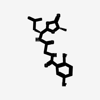 CC(C)C[C@@H](NC(=O)CNC(=O)c1cc(Br)ccc1Br)C1OC(=O)[C@H](C)O1